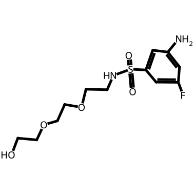 Nc1cc(F)cc(S(=O)(=O)NCCOCCOCCO)c1